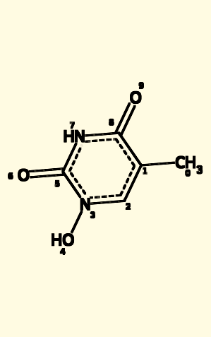 Cc1cn(O)c(=O)[nH]c1=O